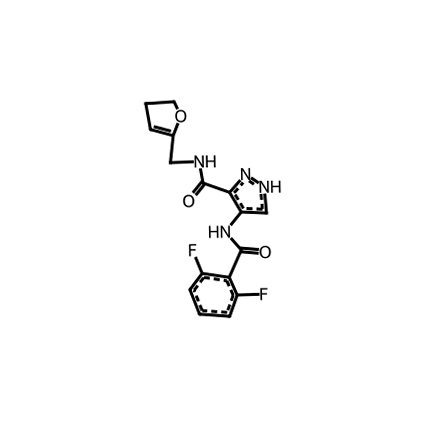 O=C(NCC1=CCCO1)c1n[nH]cc1NC(=O)c1c(F)cccc1F